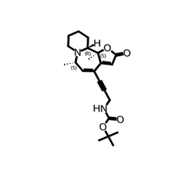 C[C@H]1C=C(C#CCNC(=O)OC(C)(C)C)C2=CC(=O)O[C@]2(C)[C@H]2CCCCN12